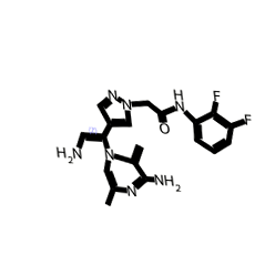 C=C1C(N)=NC(C)=CN1/C(=C\N)c1cnn(CC(=O)Nc2cccc(F)c2F)c1